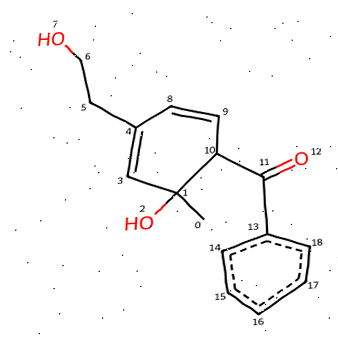 CC1(O)C=C(CCO)C=CC1C(=O)c1ccccc1